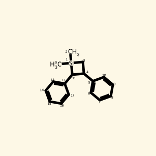 C[Si]1(C)CC(c2ccccc2)C1c1ccccc1